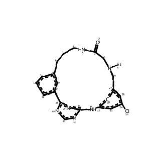 CCN1CC(=O)NCCCc2cccc(c2)-c2ncnc(n2)Nc2cc(Cl)cc(c2)C1